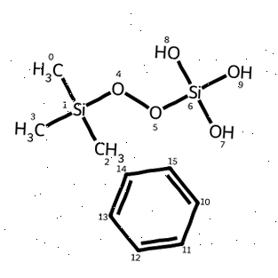 C[Si](C)(C)OO[Si](O)(O)O.c1ccccc1